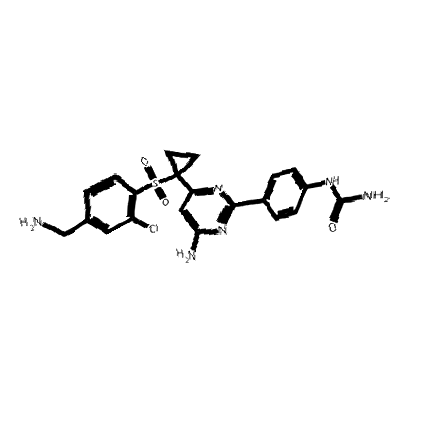 NCc1ccc(S(=O)(=O)C2(c3cc(N)nc(-c4ccc(NC(N)=O)cc4)n3)CC2)c(Cl)c1